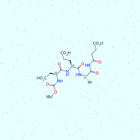 CC(C)[C@H](NC(=O)[C@H](CCC(=O)O)NC(=O)[C@H](CC(=O)O)NC(=O)OC(C)(C)C)C(=O)NC(=O)CCC(=O)O